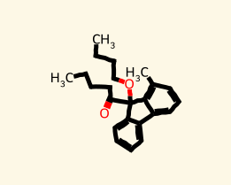 CCCCOC1(C(=O)CCCC)c2ccccc2-c2cccc(C)c21